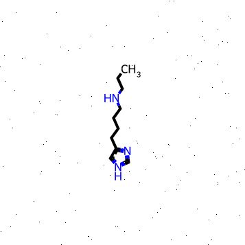 CCCNCCCCc1c[nH]cn1